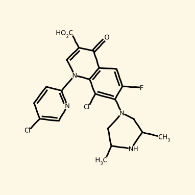 CC1CN(c2c(F)cc3c(=O)c(C(=O)O)cn(-c4ccc(Cl)cn4)c3c2Cl)CC(C)N1